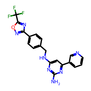 Nc1nc(NCc2ccc(-c3noc(C(F)(F)F)n3)cc2)cc(-c2cccnc2)n1